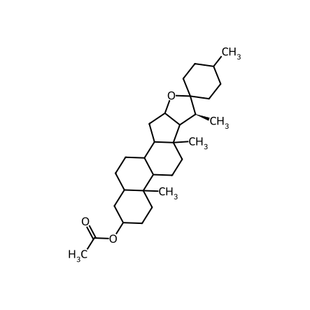 CC(=O)OC1CCC2(C)C(CCC3C2CCC2(C)C3CC3OC4(CCC(C)CC4)[C@@H](C)C32)C1